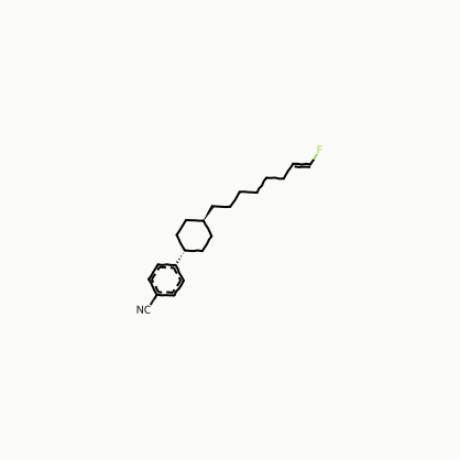 N#Cc1ccc([C@H]2CC[C@H](CCCCCCC=CF)CC2)cc1